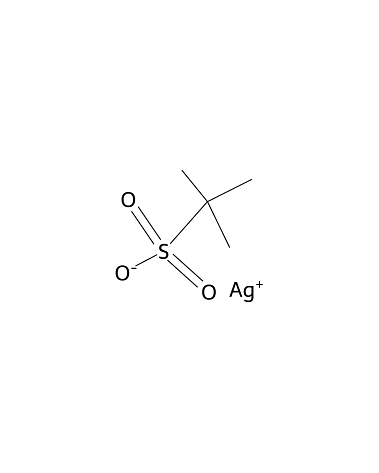 CC(C)(C)S(=O)(=O)[O-].[Ag+]